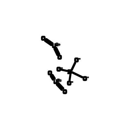 [O-][Si]([O-])([O-])[O-].[O]=[U+2]=[O].[O]=[U+2]=[O]